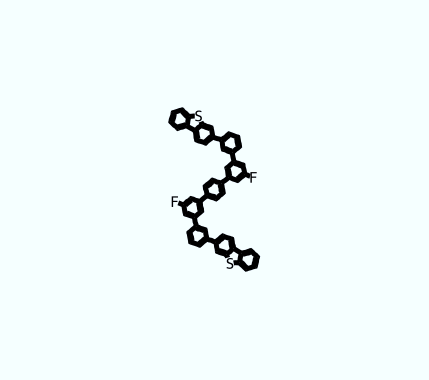 Fc1cc(-c2ccc(-c3cc(F)cc(-c4cccc(-c5ccc6c(c5)sc5ccccc56)c4)c3)cc2)cc(-c2cccc(-c3ccc4c(c3)sc3ccccc34)c2)c1